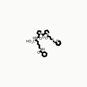 O=C(NCCCCC(NC(=O)C1CCCN1C(=O)C1CCCN1C(=O)CCSSc1ccccn1)C(=O)O)C1CCCCC1